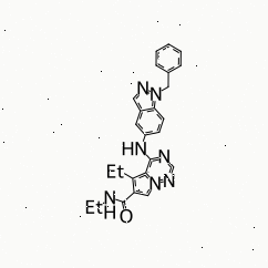 CCNC(=O)c1cn2ncnc(Nc3ccc4c(cnn4Cc4ccccc4)c3)c2c1CC